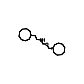 C1CCCCC(CCNCOCN2CCCCCCCC2)CCC1